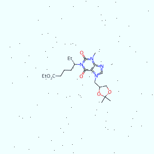 CCOC(=O)CCCC(CC)n1c(=O)c2c(ncn2CC2COC(C)(C)O2)n(C)c1=O